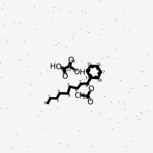 CCCCCCCCC(OC(=O)Cl)c1ccccc1.O=C(O)C(=O)O